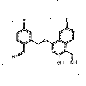 N=Cc1ccc(F)cc1CSc1nc(O)c(C=N)c2ccc(F)cc12